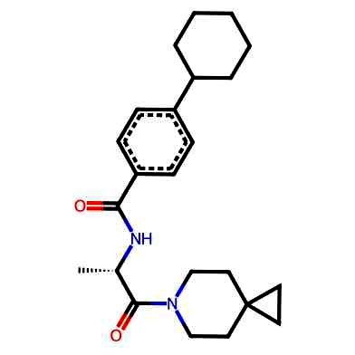 C[C@H](NC(=O)c1ccc(C2CCCCC2)cc1)C(=O)N1CCC2(CC1)CC2